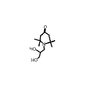 CC1(C)CC(=O)CC(C)(C)N1CC(O)CO